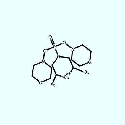 CCCCC(CC)CN(CC(CC)CCCC)P(=O)(ON1CCOCC1)ON1CCOCC1